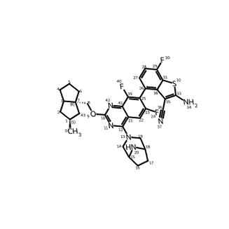 C[C@H]1CC2CCC[C@@]2(COc2nc(N3CC4CCC(C3)N4)c3cc(F)c(-c4ccc(F)c5sc(N)c(C#N)c45)c(F)c3n2)C1